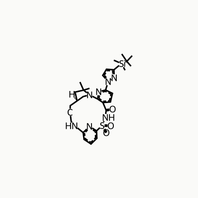 CC1(C)C[C@@H]2CCCNc3cccc(n3)S(=O)(=O)NC(=O)c3ccc(-n4ccc([Si](C)(C)C(C)(C)C)n4)nc3N1C2